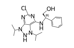 CC(C)N1NN(C(C)C)c2c(N[C@@H](CO)c3ccccc3)nc(Cl)nc21